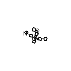 c1ccc(-c2ccc(N3B(c4ccc5oc6ccccc6c5c4)N(c4ccc(-c5cccnc5)cc4)c4ccccc43)cc2)cc1